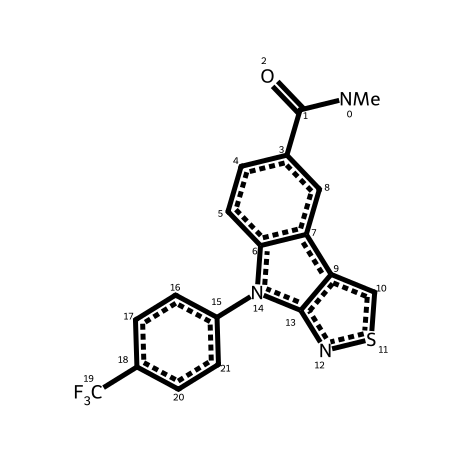 CNC(=O)c1ccc2c(c1)c1csnc1n2-c1ccc(C(F)(F)F)cc1